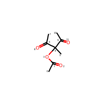 CC(=O)OC(C)(C(C)=O)C(C)=O